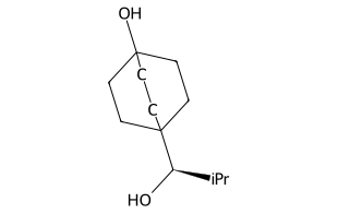 CC(C)[C@@H](O)C12CCC(O)(CC1)CC2